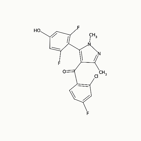 Cc1nn(C)c(-c2c(F)cc(O)cc2F)c1C(=O)c1ccc(F)cc1Cl